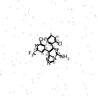 Cc1cc(-c2c(-c3ccccc3Cl)nc(N)n3cnnc23)cc(C(F)(F)F)n1